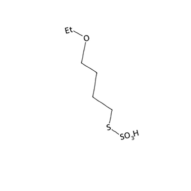 [CH2]COCCCCSS(=O)(=O)O